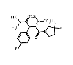 CN(C)C(=O)[C@H](c1ccc(Br)cc1)[C@@H](C(=O)N1CCC(F)(F)C1)N(C(=O)O)C(C)(C)C